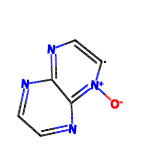 [O-][n+]1[c]cnc2nccnc21